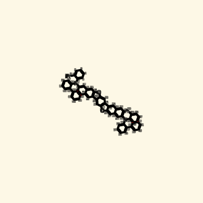 CC(C)c1ccccc1N(c1ccc2cc3c(cc2c1)oc1cc2c(cc13)oc1cc3cc(N(c4ccccc4-c4ccccc4)c4ccccc4C(C)C)ccc3cc12)c1ccccc1-c1ccccc1